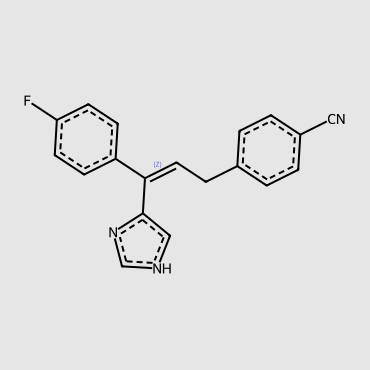 N#Cc1ccc(C/C=C(/c2ccc(F)cc2)c2c[nH]cn2)cc1